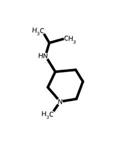 CC(C)NC1CCCN(C)C1